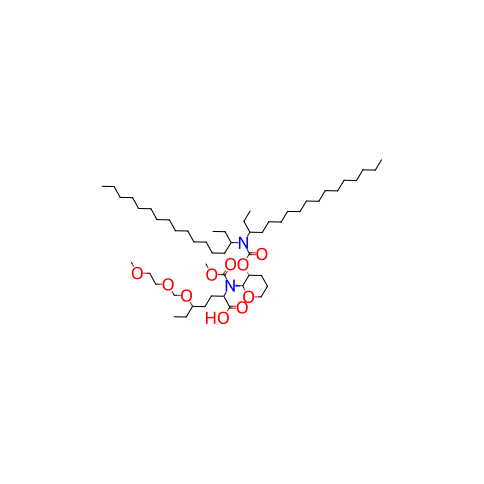 CCCCCCCCCCCCCCC(CC)N(C(=O)O[C@@H]1CCCO[C@H]1N(C(=O)OC)C(CCC(CC)OCOCCOC)C(=O)O)C(CC)CCCCCCCCCCCCCC